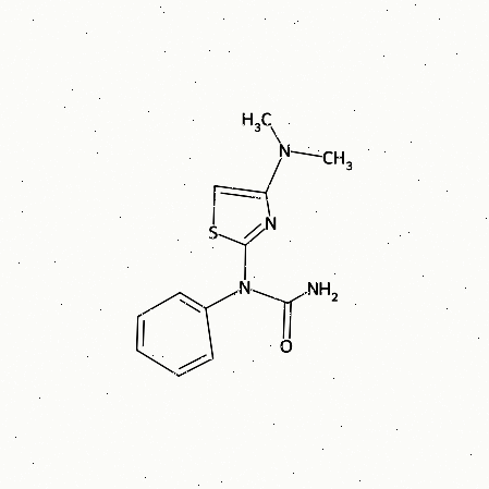 CN(C)c1csc(N(C(N)=O)c2ccccc2)n1